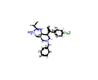 C=C(C1=C(/N=C(\N)C(C)C)C(C)CN(Cc2ccccc2)C1)c1ccc(Cl)cc1